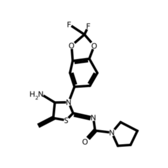 C=C1SC(=NC(=O)N2CCCC2)N(c2ccc3c(c2)OC(F)(F)O3)C1N